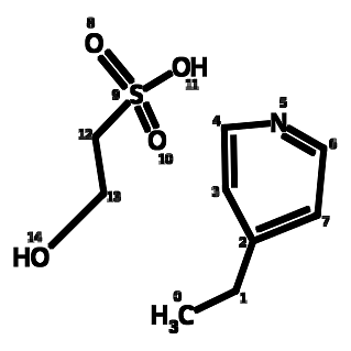 CCc1ccncc1.O=S(=O)(O)CCO